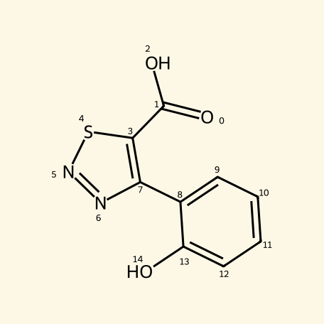 O=C(O)c1snnc1-c1ccccc1O